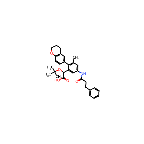 Cc1cc(NC(=O)CCc2ccccc2)cc(C(OC(C)(C)C)C(=O)O)c1-c1ccc2c(c1)CCCO2